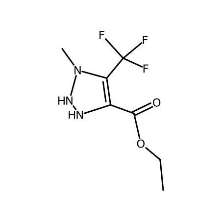 CCOC(=O)C1=C(C(F)(F)F)N(C)NN1